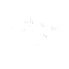 Nc1nc(N)c2c(OCC3CC3)cccc2n1